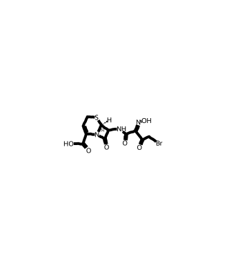 O=C(O)C1=CCS[C@H]2C(NC(=O)C(=NO)C(=O)CBr)C(=O)N12